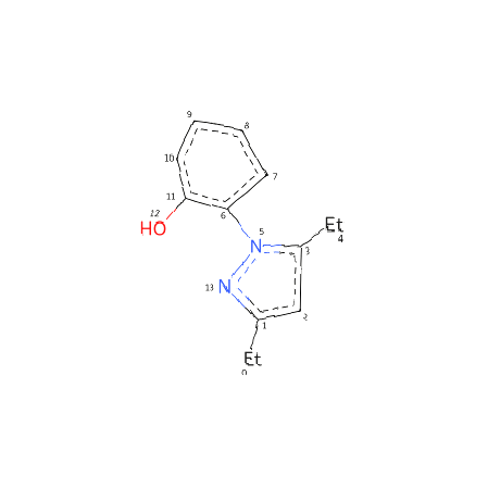 CCc1cc(CC)n(-c2ccccc2O)n1